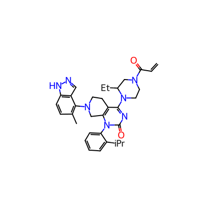 C=CC(=O)N1CCN(c2nc(=O)n(-c3ccccc3C(C)C)c3c2CCN(c2c(C)ccc4[nH]ncc24)C3)C(CC)C1